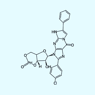 O=c1c2nc(-c3ccc(Cl)cc3)n([C@@H]3OC4CO[PH](=O)O[C@H]4[C@@H]3O)c2nc2[nH]c(-c3ccccc3)cn12